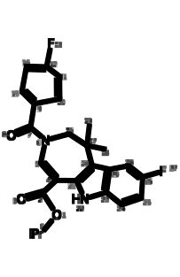 CC(C)OC(=O)C1=CN(C(=O)c2ccc(F)cc2)CC(C)(C)c2c1[nH]c1ccc(F)cc21